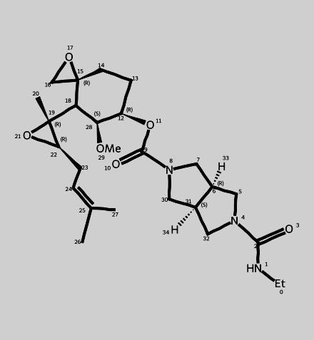 CCNC(=O)N1C[C@@H]2CN(C(=O)O[C@@H]3CC[C@]4(CO4)C([C@@]4(C)O[C@@H]4CC=C(C)C)[C@@H]3OC)C[C@@H]2C1